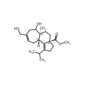 COC(=O)[C@@]12CCC(C(C)C)=C1[C@@H]1CC=C(CO)CC(O)[C@@]1(C)CC2